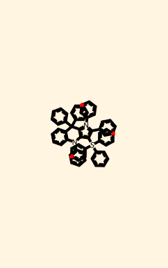 c1ccc(-c2c(S(c3ccccc3)(c3ccccc3)c3ccccc3)c3c(n2-c2ccccc2)C(c2ccccc2)(c2ccccc2)c2ccccc2N3c2ccccc2)cc1